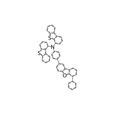 c1ccc(-c2cccc3c2oc2ccc(-c4ccc(N(c5cccc6c5sc5ccccc56)c5cccc6sc7ccccc7c56)cc4)cc23)cc1